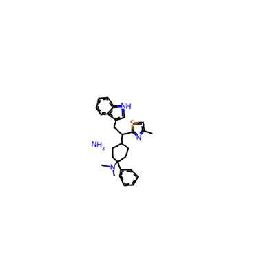 Cc1csc(C(Cc2c[nH]c3ccccc23)C2CCC(c3ccccc3)(N(C)C)CC2)n1.N